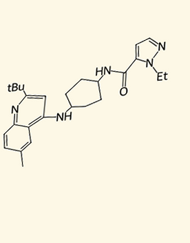 CCn1nccc1C(=O)NC1CCC(Nc2cc(C(C)(C)C)nc3ccc(C)cc23)CC1